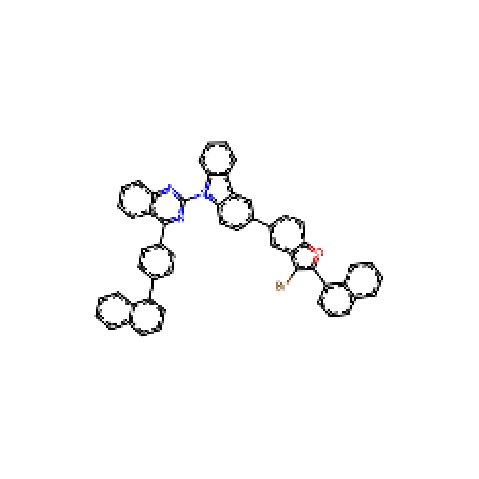 Brc1c(-c2cccc3ccccc23)oc2ccc(-c3ccc4c(c3)c3ccccc3n4-c3nc(-c4ccc(-c5cccc6ccccc56)cc4)c4ccccc4n3)cc12